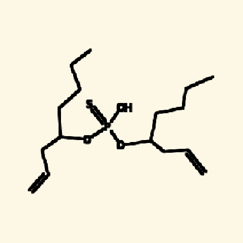 C=CCC(CCCC)OP(O)(=S)OC(CC=C)CCCC